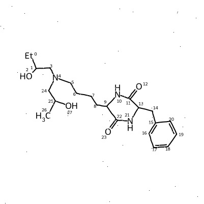 CCC(O)CN(CCCCC1NC(=O)C(Cc2ccccc2)NC1=O)CC(C)O